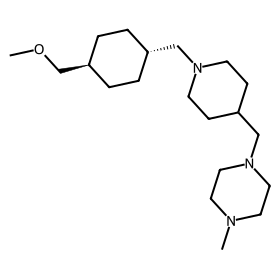 COC[C@H]1CC[C@H](CN2CCC(CN3CCN(C)CC3)CC2)CC1